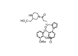 COc1cccc([C@H]2O[C@H](CCC(=O)N3CCNC(CC(=O)O)C3)c3cccn3-c3ccc(Cl)cc32)c1OC